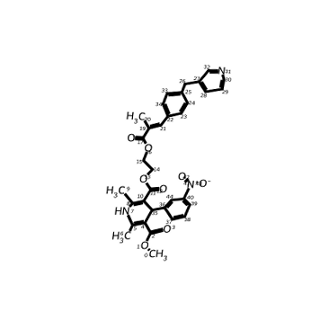 COC(=O)C1=C(C)NC(C)=C(C(=O)OCCOC(=O)C(C)=Cc2ccc(Cc3cccnc3)cc2)C1c1cccc([N+](=O)[O-])c1